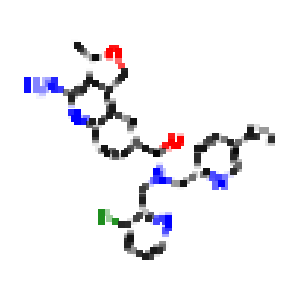 CC1OCc2c1c(N)nc1ccc(C(=O)N(Cc3ccc(C(F)(F)F)cn3)Cc3ncccc3F)cc21